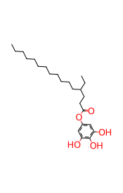 CCCCCCCCCCCCC(CC)CCC(=O)Oc1cc(O)c(O)c(O)c1